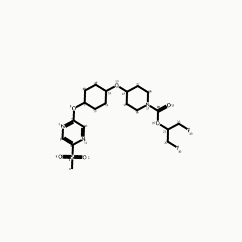 CS(=O)(=O)c1cnc(OC2CCC(OC3CCN(C(=O)OC(CF)CF)CC3)CC2)cn1